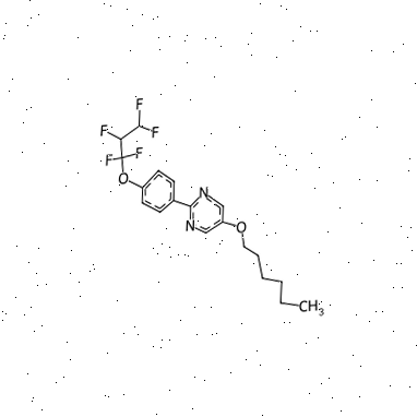 CCCCCCOc1cnc(-c2ccc(OC(F)(F)C(F)C(F)F)cc2)nc1